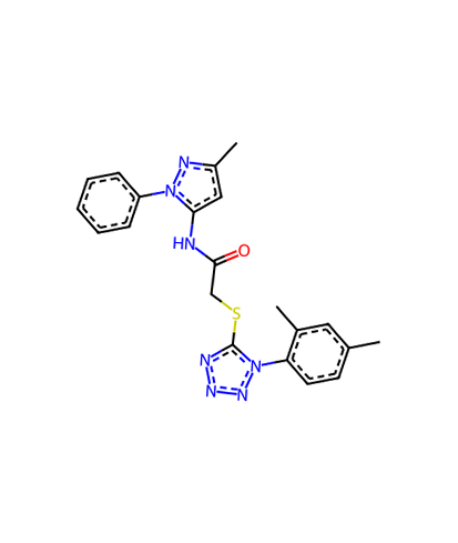 Cc1ccc(-n2nnnc2SCC(=O)Nc2cc(C)nn2-c2ccccc2)c(C)c1